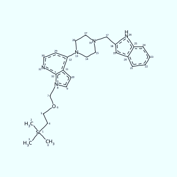 C[Si](C)(C)CCOCn1ccc2c(N3CCN(Cc4cc5ccccc5[nH]4)CC3)ccnc21